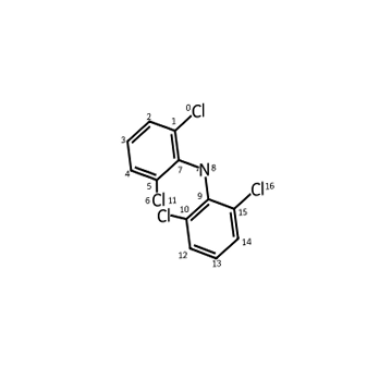 Clc1cccc(Cl)c1[N]c1c(Cl)cccc1Cl